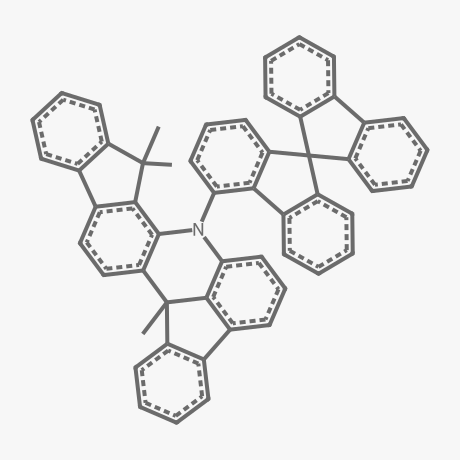 CC1(C)c2ccccc2-c2ccc3c(c21)N(c1cccc2c1-c1ccccc1C21c2ccccc2-c2ccccc21)c1cccc2c1C3(C)c1ccccc1-2